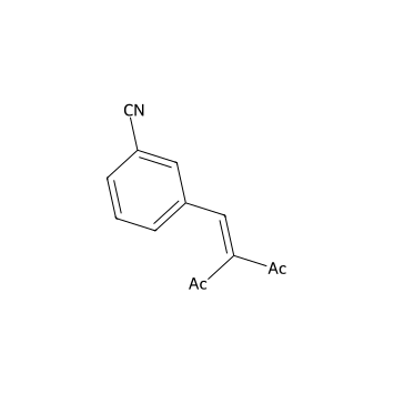 CC(=O)C(=Cc1cccc(C#N)c1)C(C)=O